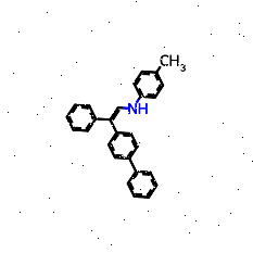 Cc1ccc(NC=C(c2ccccc2)c2ccc(-c3ccccc3)cc2)cc1